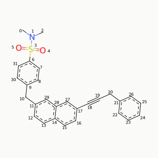 CN(C)S(=O)(=O)c1ccc(Cc2ccc3ccc(C#CCc4ccccc4)cc3c2)cc1